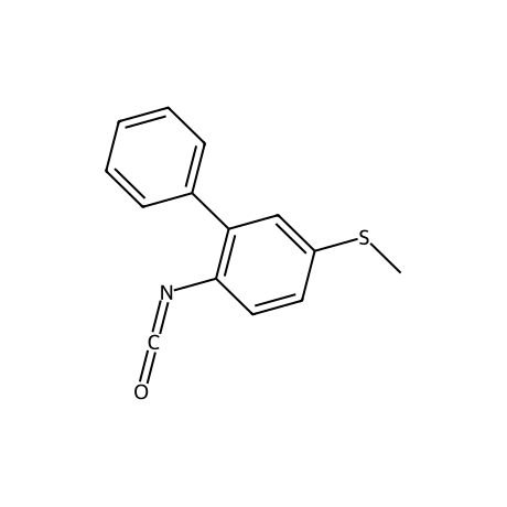 CSc1ccc(N=C=O)c(-c2ccccc2)c1